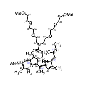 C/N=C(C)/C=c1\[nH]/c(=C(/C)C2=N/C(=C\C(NC)=C(C)C)[C@@H](C)[C@@H]2CCC(=O)N(CCOCCOCCOC)CCOCCOCCOC)cc1C